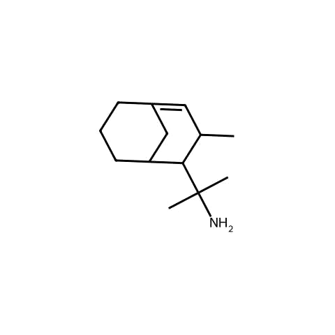 CC1C=C2CCCC(C2)C1C(C)(C)N